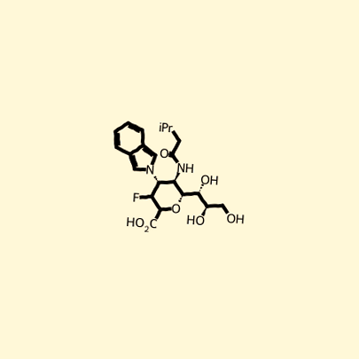 CC(C)CC(=O)N[C@H]1[C@H]([C@H](O)[C@H](O)CO)OC(C(=O)O)C(F)[C@@H]1n1cc2ccccc2c1